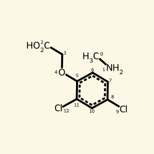 CN.O=C(O)COc1ccc(Cl)cc1Cl